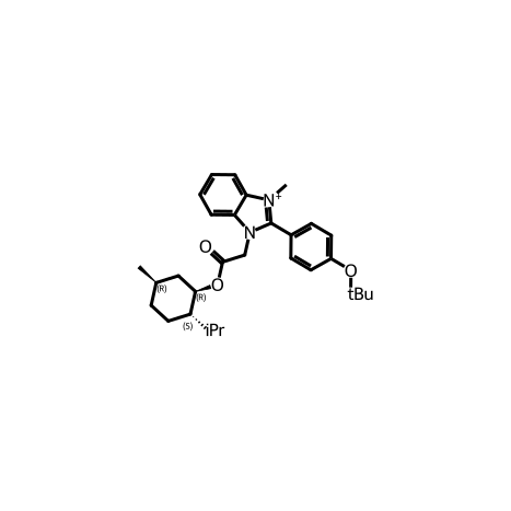 CC(C)[C@@H]1CC[C@@H](C)C[C@H]1OC(=O)Cn1c(-c2ccc(OC(C)(C)C)cc2)[n+](C)c2ccccc21